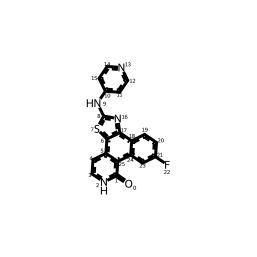 O=c1[nH]ccc2c3sc(Nc4ccncc4)nc3c3ccc(F)cc3c12